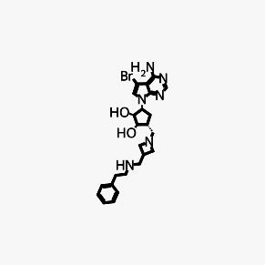 Nc1ncnc2c1c(Br)cn2[C@@H]1C[C@H](CN2CC(CNCCc3ccccc3)C2)[C@@H](O)[C@H]1O